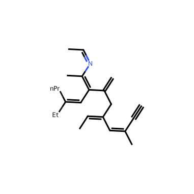 C#C/C(C)=C\C(=C/C)CC(=C)C(/C=C(/CC)CCC)=C(C)\N=C/C